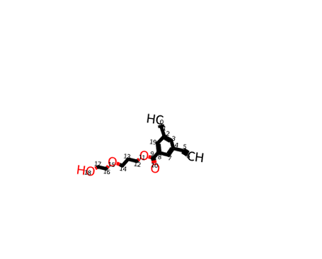 C#Cc1cc(C#C)cc(C(=O)OCCCOCCO)c1